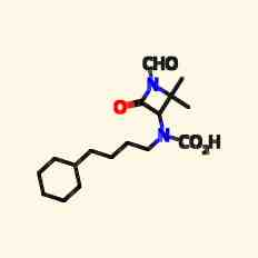 CC1(C)C(N(CCCCC2CCCCC2)C(=O)O)C(=O)N1C=O